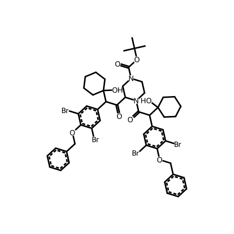 CC(C)(C)OC(=O)N1CCN(C(=O)C(c2cc(Br)c(OCc3ccccc3)c(Br)c2)C2(O)CCCCC2)C(C(=O)C(c2cc(Br)c(OCc3ccccc3)c(Br)c2)C2(O)CCCCC2)C1